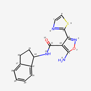 Nc1onc(-c2nccs2)c1C(=O)NC1CCc2ccccc21